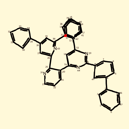 c1ccc(-c2cccc(-c3nc(-c4ccccc4)cc(-c4cccnc4-c4cc(-c5ccccc5)cc(-c5ccccn5)n4)n3)c2)cc1